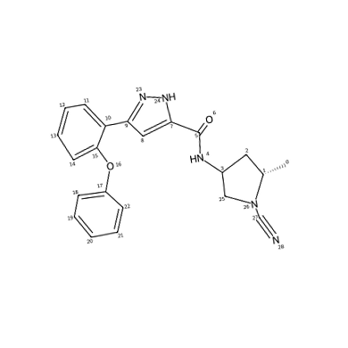 C[C@H]1CC(NC(=O)c2cc(-c3ccccc3Oc3ccccc3)n[nH]2)CN1C#N